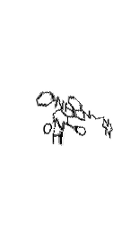 O=C1CC(Nc2ccccc2)=C(c2cn(CCCn3ccnc3)c3ccccc23)C(=O)N1